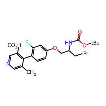 Cc1cncc(C(=O)O)c1-c1ccc(OCC(CC(C)C)NC(=O)OC(C)(C)C)cc1F